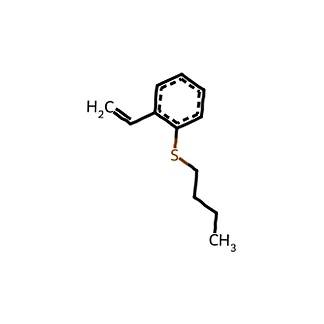 C=Cc1ccccc1SCCCC